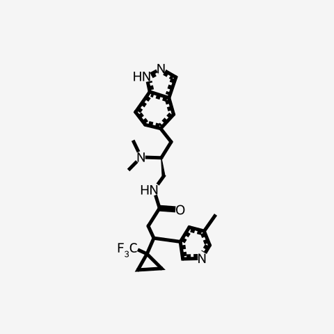 Cc1cncc(C(CC(=O)NC[C@H](Cc2ccc3[nH]ncc3c2)N(C)C)C2(C(F)(F)F)CC2)c1